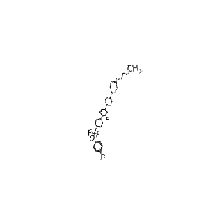 CCCCCC1CCC(C2CCC(c3ccc(C4CCC(C(F)(F)Oc5ccc(F)cc5)CC4)c(F)c3)CC2)CC1